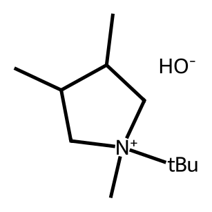 CC1C[N+](C)(C(C)(C)C)CC1C.[OH-]